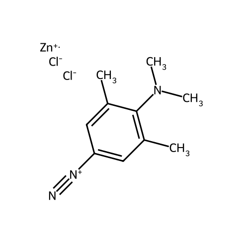 Cc1cc([N+]#N)cc(C)c1N(C)C.[Cl-].[Cl-].[Zn+]